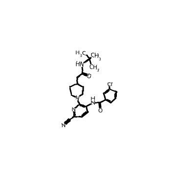 CC(C)(C)NC(=O)CC1CCN(c2nc(C#N)ccc2NC(=O)c2cccc(Cl)c2)CC1